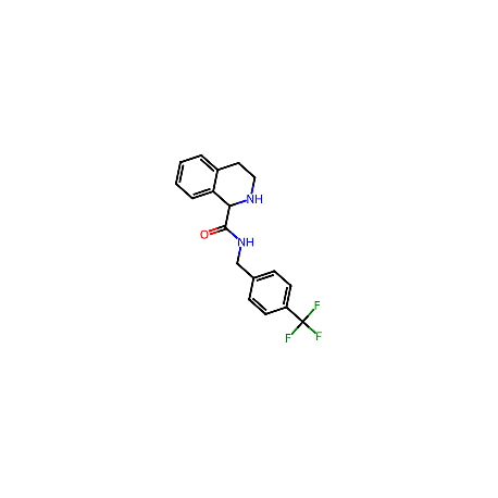 O=C(NCc1ccc(C(F)(F)F)cc1)C1NCCc2ccccc21